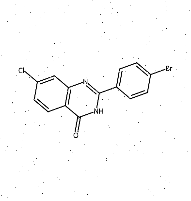 O=c1[nH]c(-c2ccc(Br)cc2)nc2cc(Cl)ccc12